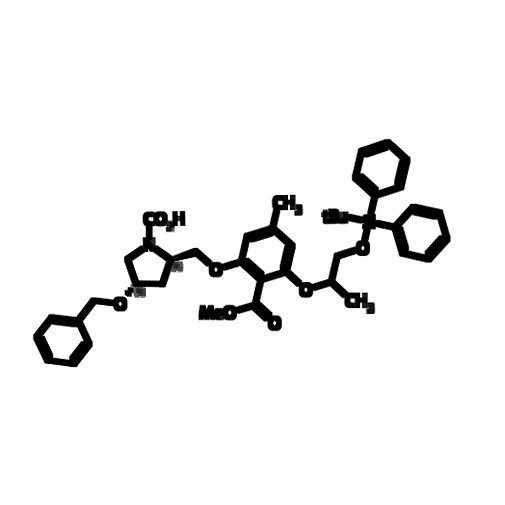 COC(=O)c1c(OC[C@H]2C[C@H](OCc3ccccc3)CN2C(=O)O)cc(C)cc1OC(C)CO[Si](c1ccccc1)(c1ccccc1)C(C)(C)C